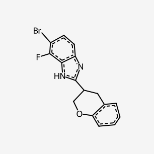 Fc1c(Br)ccc2nc(C3COc4ccccc4C3)[nH]c12